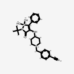 CC(C)(C)N1C(=O)C(NC2CCN(Cc3ccc(C#N)cc3)CC2)=C(c2ccccc2)S1(O)O